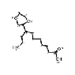 CCCC(CCCCCCC(=O)O)C1COCCO1